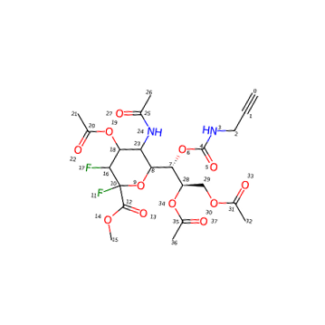 C#CCNC(=O)O[C@@H](C1OC(F)(C(=O)OC)C(F)C(OC(C)=O)C1NC(C)=O)[C@@H](COC(C)=O)OC(C)=O